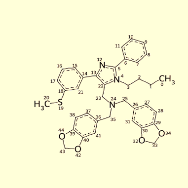 CCCCn1c(-c2ccccc2)nc(-c2cccc(SC)c2)c1CN(Cc1ccc2c(c1)OCO2)Cc1ccc2c(c1)OCO2